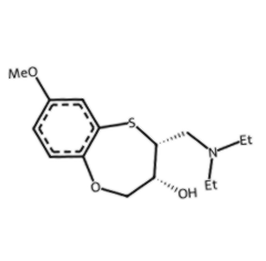 CCN(CC)C[C@H]1Sc2cc(OC)ccc2OC[C@H]1O